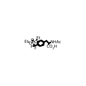 CCOP(=O)(OCC)C(F)(F)c1ccc(CC(NC(C)=O)C(=O)O)cc1